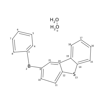 O.O.[B](c1ccccc1)c1ccc2sc3ccccc3c2c1